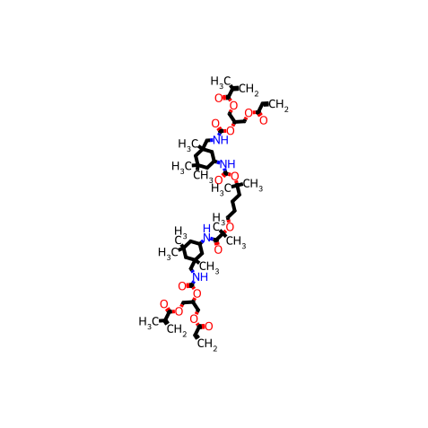 C=CC(=O)OCC(COC(=O)C(=C)C)OC(=O)NCC1(C)CC(NC(=O)OC(C)(C)CCCCOC(C)(C)C(=O)NC2CC(C)(C)CC(C)(CNC(=O)OC(COC(=O)C=C)COC(=O)C(=C)C)C2)CC(C)(C)C1